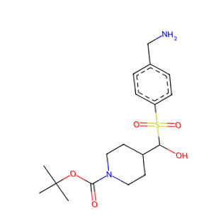 CC(C)(C)OC(=O)N1CCC(C(O)S(=O)(=O)c2ccc(CN)cc2)CC1